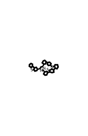 c1ccc(-c2cc(-c3ccc4sc5ccccc5c4c3)nc(-c3cccc4c3sc3c4ccc4c5ccccc5n(-c5ccccc5)c43)n2)cc1